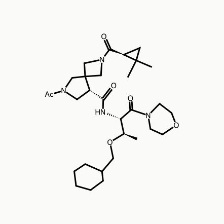 CC(=O)N1C[C@@H](C(=O)N[C@H](C(=O)N2CCOCC2)[C@@H](C)OCC2CCCCC2)C2(C1)CN(C(=O)[C@H]1CC1(C)C)C2